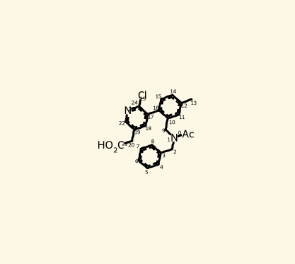 CC(=O)N(Cc1ccccc1)Cc1cc(C)ccc1-c1cc(CC(=O)O)cnc1Cl